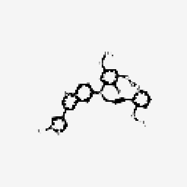 COc1cc(OC)c(F)c(N(CC#Cc2ncccc2OC)c2ccc3ncc(-c4cnn(C)c4)cc3c2)c1